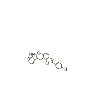 Clc1ccc(COc2ccc(Cl)c(Cc3c[nH]c4ncccc34)c2Cl)cc1